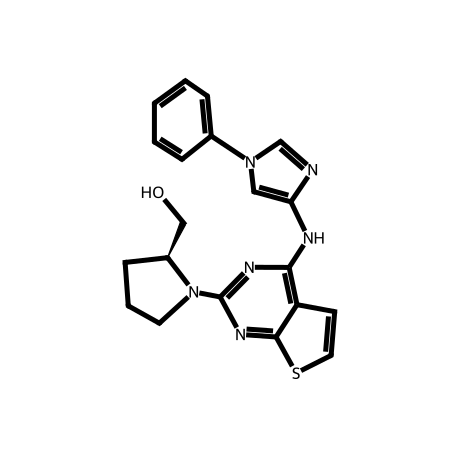 OC[C@@H]1CCCN1c1nc(Nc2cn(-c3ccccc3)cn2)c2ccsc2n1